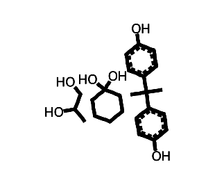 CC(C)(c1ccc(O)cc1)c1ccc(O)cc1.CC(O)CO.OC1(O)CCCCC1